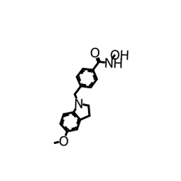 COc1ccc2c(c1)CCN2Cc1ccc(C(=O)NO)cc1